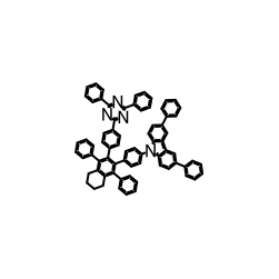 c1ccc(-c2ccc3c(c2)c2cc(-c4ccccc4)ccc2n3-c2ccc(-c3c(-c4ccccc4)c4c(c(-c5ccccc5)c3-c3ccc(-c5nc(-c6ccccc6)nc(-c6ccccc6)n5)cc3)CCCC4)cc2)cc1